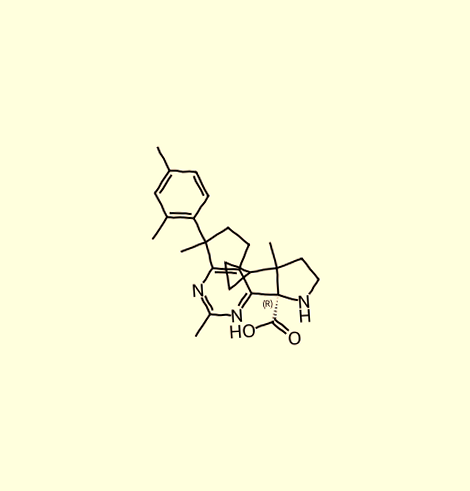 Cc1ccc(C2(C)CCc3c2nc(C)nc3[C@]2(C(=O)O)NCCC2(C)C2CC2)c(C)c1